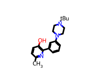 Cc1ccc(O)c(-c2cccc(N3CCN(C(C)(C)C)CC3)c2)n1